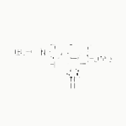 COc1ccc(-c2c(F)cc(NC(=O)N3CCC(C(C)(C)C)CC3)cc2-c2nn[nH]n2)cc1Cl